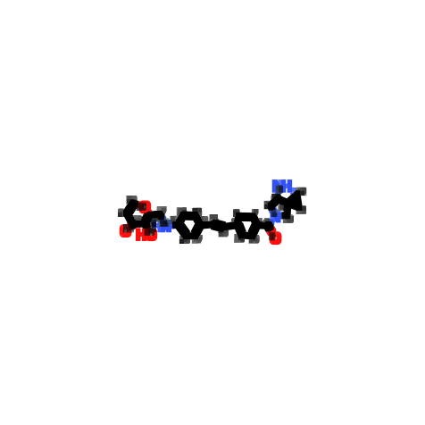 N[C@@H]1CN(C(=O)c2ccc(C#Cc3ccc(NCc4occc(=O)c4O)cc3)cc2)CC12CC2